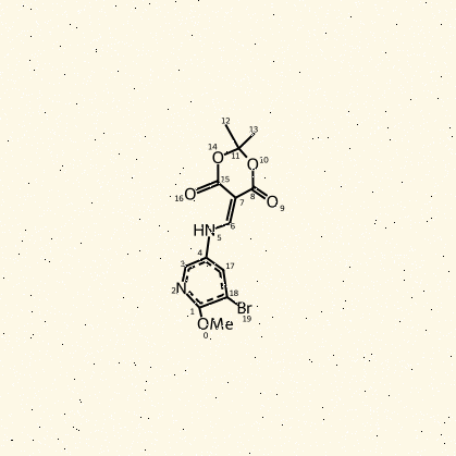 COc1ncc(NC=C2C(=O)OC(C)(C)OC2=O)cc1Br